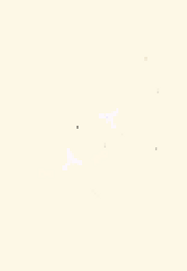 CC(C)(CN1C(=O)c2ccccc2C1=O)Cn1cc(C#N)c2ccc(Br)cc21